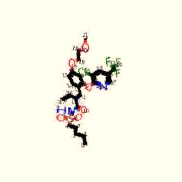 CCCCCS(=O)(=O)NC(=O)/C(=C/c1ccc(OCCOC)cc1Oc1ncc(C(F)(F)F)cc1Cl)CC